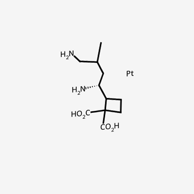 CC(CN)C[C@@H](N)C1CCC1(C(=O)O)C(=O)O.[Pt]